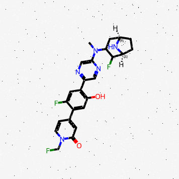 CN(c1cnc(-c2cc(F)c(-c3ccn(CF)c(=O)c3)cc2O)cn1)C1C[C@H]2CC[C@H](N2)C1F